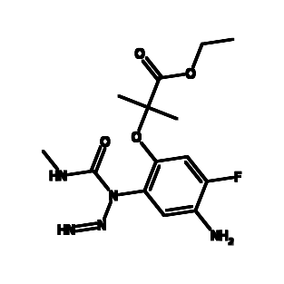 CCOC(=O)C(C)(C)Oc1cc(F)c(N)cc1N(N=N)C(=O)NC